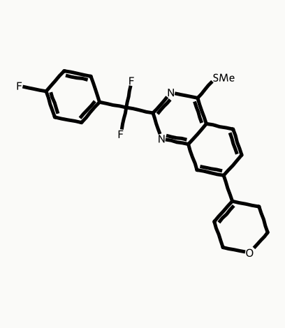 CSc1nc(C(F)(F)c2ccc(F)cc2)nc2cc(C3=CCOCC3)ccc12